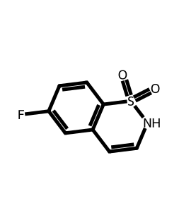 O=S1(=O)NC=Cc2cc(F)ccc21